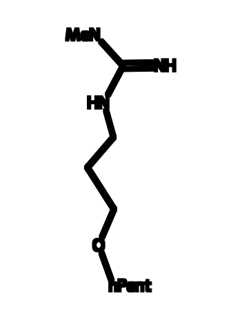 CCCCCOCCCNC(=N)NC